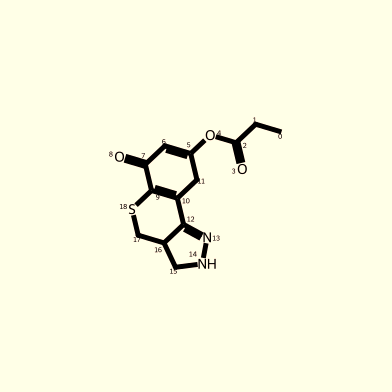 CCC(=O)OC1=CC(=O)C2=C(C1)C1=NNCC1CS2